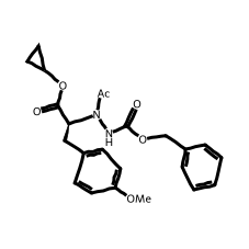 COc1ccc(C[C@@H](C(=O)OC2CC2)N(NC(=O)OCc2ccccc2)C(C)=O)cc1